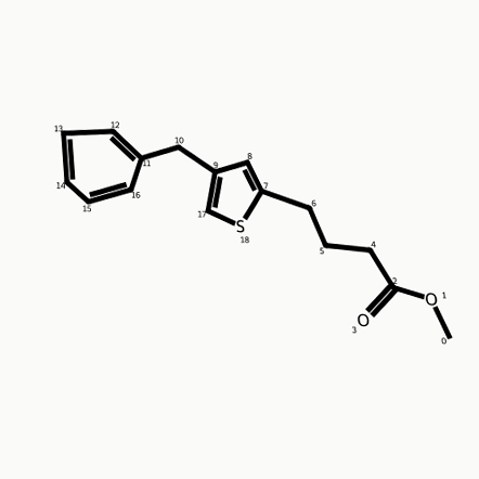 COC(=O)CCCc1cc(Cc2ccccc2)cs1